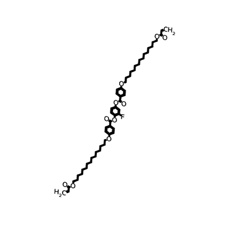 C=CC(=O)OCCCCCCCCCCCCCCCOc1ccc(C(=O)Oc2ccc(OC(=O)c3ccc(OCCCCCCCCCCCCCCCOC(=O)C=C)cc3)c(F)c2)cc1